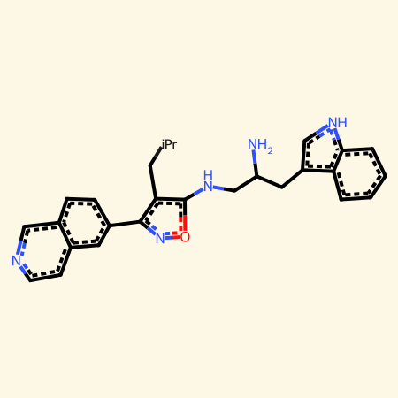 CC(C)Cc1c(-c2ccc3cnccc3c2)noc1NCC(N)Cc1c[nH]c2ccccc12